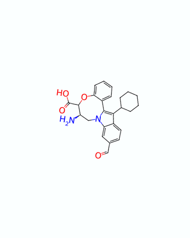 N[C@@H]1Cn2c(c(C3CCCCC3)c3ccc(C=O)cc32)-c2ccccc2OC1C(=O)O